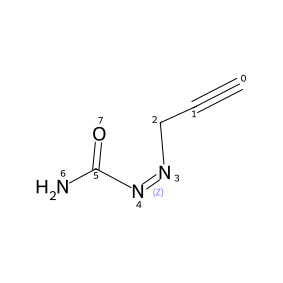 C#CC/N=N\C(N)=O